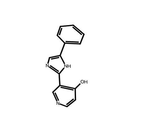 Oc1ccncc1-c1ncc(-c2ccccc2)[nH]1